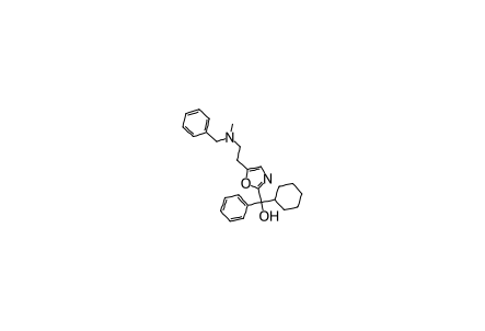 CN(CCc1cnc(C(O)(c2ccccc2)C2CCCCC2)o1)Cc1ccccc1